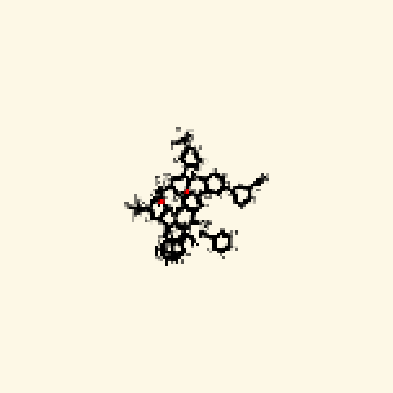 N#Cc1cccc(-c2ccc(-n3c4ccc(C(F)(F)F)cc4c4cc(C(F)(F)F)ccc43)c(-c3ccc(-n4c5ccc(C(F)(F)F)cc5c5cc(C(F)(F)F)ccc54)c(-c4nc(-c5ccccc5)nc(-c5ccccc5)n4)c3)c2)c1